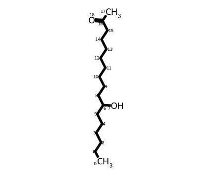 CCCCCCC(O)CCCCCCCCC(C)=O